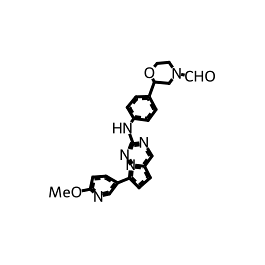 COc1ccc(-c2ccc3cnc(Nc4ccc(C5CN(C=O)CCO5)cc4)nn23)cn1